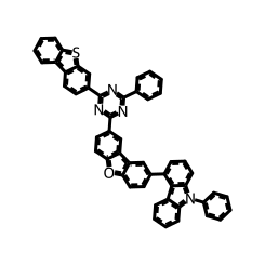 c1ccc(-c2nc(-c3ccc4c(c3)sc3ccccc34)nc(-c3ccc4oc5ccc(-c6cccc7c6c6ccccc6n7-c6ccccc6)cc5c4c3)n2)cc1